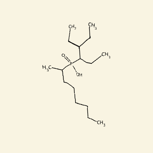 CCCCCCC(C)P(=O)(O)C(CC)C(CC)CC